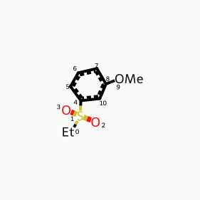 [CH2]CS(=O)(=O)c1cccc(OC)c1